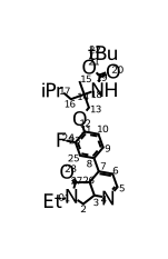 CCN1CC2N=CC=C(c3ccc(OCC(C)(CC(C)C)NC(=O)OC(C)(C)C)c(F)c3)C2C1=O